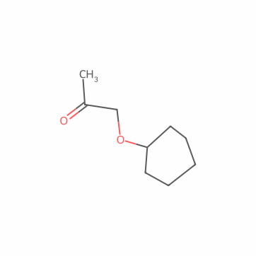 CC(=O)COC1CCCCC1